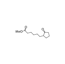 COC(=O)CCCCCC1CCCC1=O